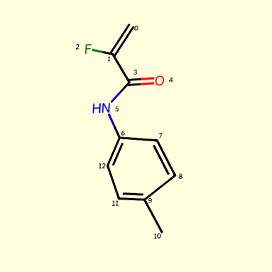 C=C(F)C(=O)Nc1ccc(C)cc1